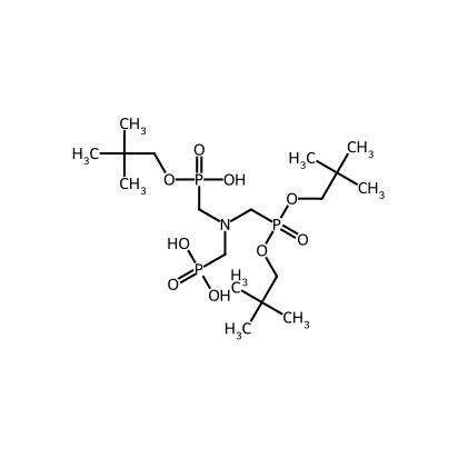 CC(C)(C)COP(=O)(O)CN(CP(=O)(O)O)CP(=O)(OCC(C)(C)C)OCC(C)(C)C